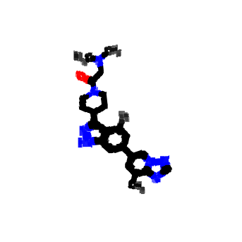 CCc1cc(-c2cc(C)c3ncnn3c2)cc2[nH]nc(C3CCN(C(=O)CN(C)C)CC3)c12